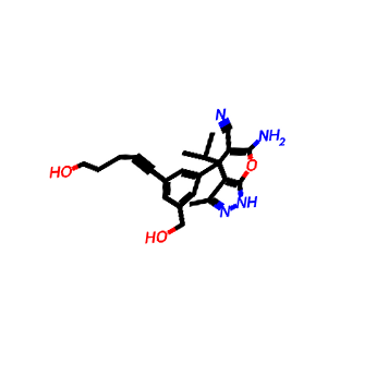 Cc1n[nH]c2c1C(c1cc(C#CCCCO)cc(CO)c1)(C(C)C)C(C#N)=C(N)O2